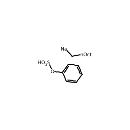 CCCCCCCC[CH2][Na].O=S(=O)(O)Oc1ccccc1